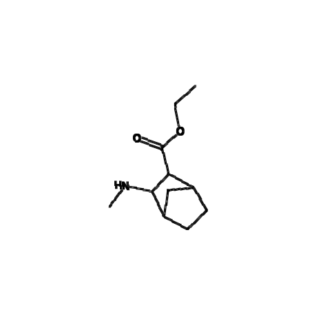 CCOC(=O)C1C2CCC(C2)C1NC